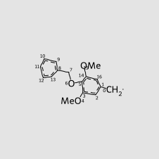 [CH2]c1cc(OC)c(OCc2ccccc2)c(OC)c1